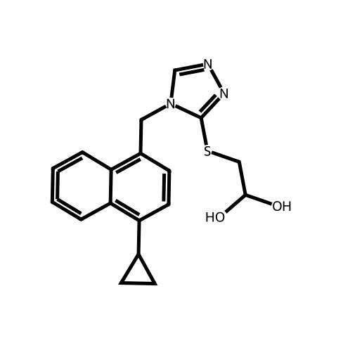 OC(O)CSc1nncn1Cc1ccc(C2CC2)c2c1C=C=C=C2